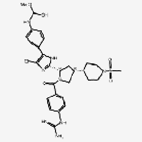 COC(O)Nc1ccc(-c2[nH]c([C@@H]3C[C@H](C4CCN(S(C)(=O)=O)CC4)CN3C(=O)c3ccc(NC(=N)N)cc3)nc2Cl)cc1